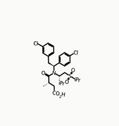 CC(C)[C@@H](CS(=O)(=O)C(C)C)N(C(=O)[C@@H](C)CC(=O)O)[C@@H](Cc1cccc(Cl)c1)c1ccc(Cl)cc1